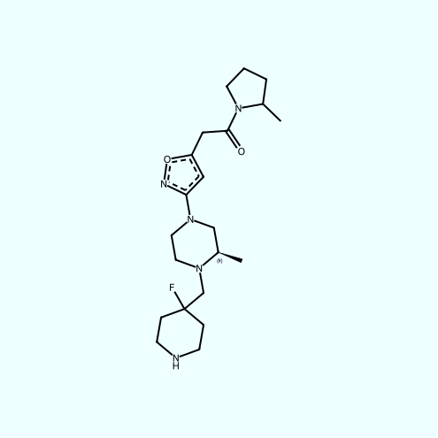 CC1CCCN1C(=O)Cc1cc(N2CCN(CC3(F)CCNCC3)[C@H](C)C2)no1